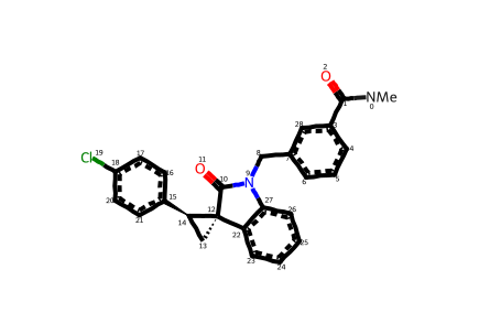 CNC(=O)c1cccc(CN2C(=O)[C@@]3(C[C@H]3c3ccc(Cl)cc3)c3ccccc32)c1